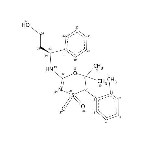 Cc1ccccc1C1C(C)(C)OC(N[C@@H](CCO)c2ccccc2)=NS1(=O)=O